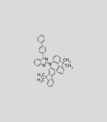 CC1(C)c2ccccc2-c2ccc(N(c3nc(-c4ccc(-c5ccccc5)cc4)c4ccccc4n3)c3cccc4c3-c3ccccc3C4(C)C)cc21